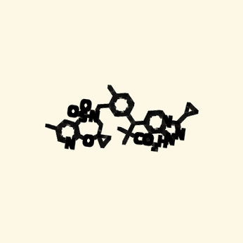 Cc1cnc2c(c1)S(=O)(=O)N(Cc1cc(C(c3ccn4c(C5CC5)nnc4c3C)C(C)(C)C(=O)O)ccc1C)CC1(CC1)O2